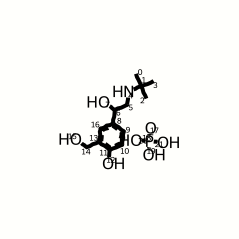 CC(C)(C)NCC(O)c1ccc(O)c(CO)c1.O=P(O)(O)O